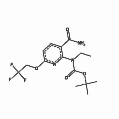 CCN(C(=O)OC(C)(C)C)c1nc(OCC(F)(F)F)ccc1C(N)=O